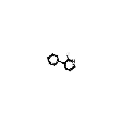 Clc1ncccc1-c1ccccc1